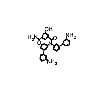 NC(=O)c1cc(O)cc(C(=O)N(c2cccc(-c3cccc(N)c3)c2)c2cccc(-c3cccc(N)c3)c2)c1